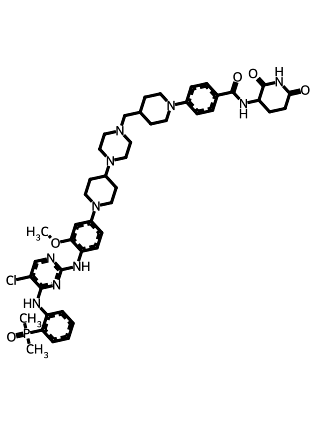 COc1cc(N2CCC(N3CCN(CC4CCN(c5ccc(C(=O)NC6CCC(=O)NC6=O)cc5)CC4)CC3)CC2)ccc1Nc1ncc(Cl)c(Nc2ccccc2P(C)(C)=O)n1